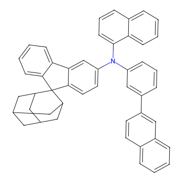 c1cc(-c2ccc3ccccc3c2)cc(N(c2ccc3c(c2)-c2ccccc2C32C3CC4CC(C3)CC2C4)c2cccc3ccccc23)c1